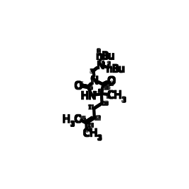 CCCCN(CCCC)CN1C(=O)NC(C)(CCC=C(C)C)C1=O